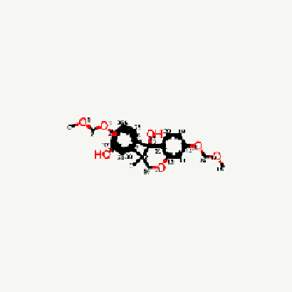 COCOc1ccc(C2(C)COc3cc(OCOC)ccc3C2(O)c2cccc(O)c2)cc1